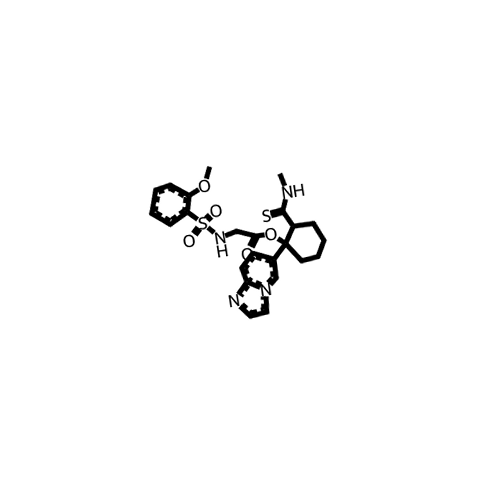 CNC(=S)C1CCCCC1(OC(=O)CNS(=O)(=O)c1ccccc1OC)c1ccc2nccn2c1